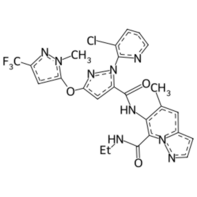 CCNC(=O)c1c(NC(=O)c2cc(Oc3cc(C(F)(F)F)nn3C)nn2-c2ncccc2Cl)c(C)cc2ccnn12